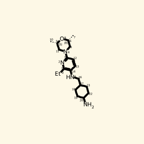 CCc1nc(N2C[C@@H](C)O[C@@H](C)C2)ccc1NCC1CCC(N)CC1